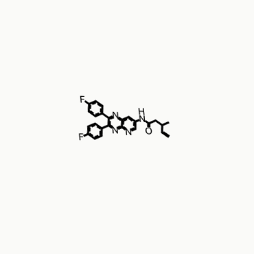 C=CC(C)CC(=O)Nc1cnc2nc(-c3ccc(F)cc3)c(-c3ccc(F)cc3)nc2c1